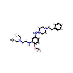 CCN(CC)CCNc1cc(NN2CCN(CCc3ccccc3)CC2)ccc1OC